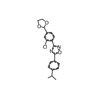 CC(C)c1ccc(-c2nc(-c3ccc(C4OCCO4)cc3Cl)no2)cc1